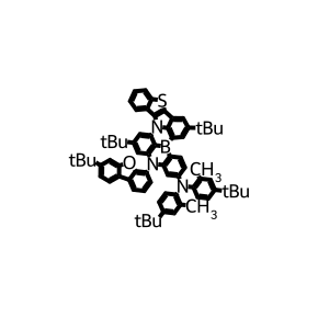 Cc1cc(C(C)(C)C)ccc1N(c1ccc2c(c1)N(c1cccc3c1oc1cc(C(C)(C)C)ccc13)c1cc(C(C)(C)C)cc3c1B2c1cc(C(C)(C)C)cc2c4sc5ccccc5c4n-3c12)c1ccc(C(C)(C)C)cc1C